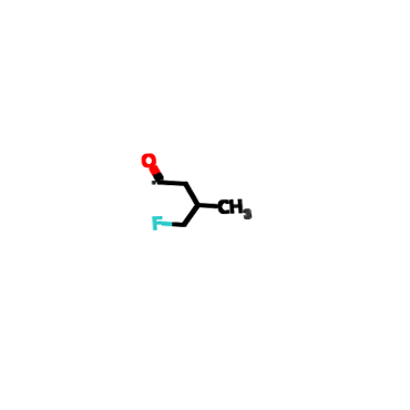 CC(CF)C[C]=O